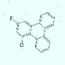 Fc1cc(Cl)c2c3ccccc3c3ccccc3c2c1